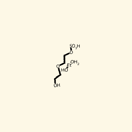 CCO.O.O=S(=O)(O)OCCOCCO